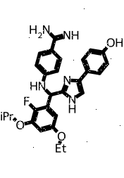 CCOc1cc(OC(C)C)c(F)c(C(Nc2ccc(C(=N)N)cc2)c2nc(-c3ccc(O)cc3)c[nH]2)c1